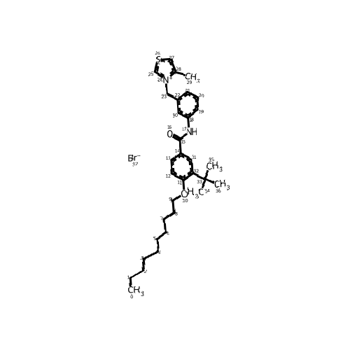 CCCCCCCCCCOc1ccc(C(=O)Nc2cccc(C[n+]3cscc3C)c2)cc1C(C)(C)C.[Br-]